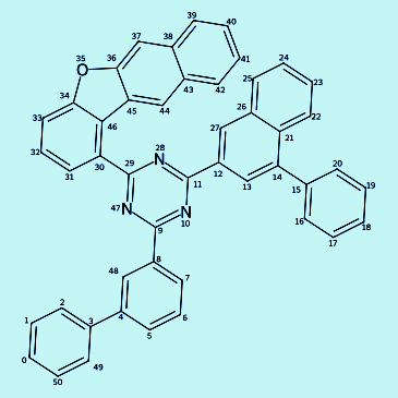 c1ccc(-c2cccc(-c3nc(-c4cc(-c5ccccc5)c5ccccc5c4)nc(-c4cccc5oc6cc7ccccc7cc6c45)n3)c2)cc1